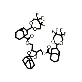 O=C(OCC1OC2(OC1COC(=O)C13CCCC(=CC(C4OCC(F)(F)C(F)(F)CO4)C1)C3)C1CC3CC(C1)CC2C3)C12CCCC(=CC(C3OCC(F)(F)C(F)(F)CO3)C1)C2